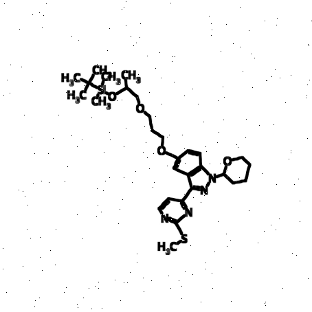 CSc1nccc(-c2nn(C3CCCCO3)c3ccc(OCCCOCC(C)O[Si](C)(C)C(C)(C)C)cc23)n1